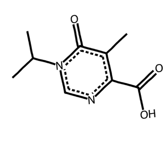 Cc1c(C(=O)O)ncn(C(C)C)c1=O